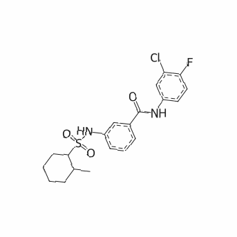 CC1CCCCC1S(=O)(=O)Nc1cccc(C(=O)Nc2ccc(F)c(Cl)c2)c1